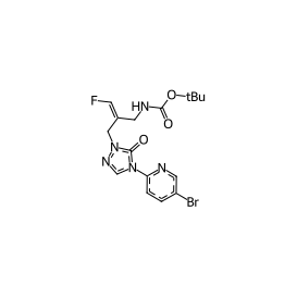 CC(C)(C)OC(=O)NC/C(=C/F)Cn1ncn(-c2ccc(Br)cn2)c1=O